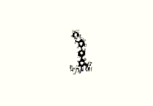 C/N=N\c1c(C)cc(-c2ccc(-c3cccc(CN4CCCC4)c3)cc2)cc1C(=O)O